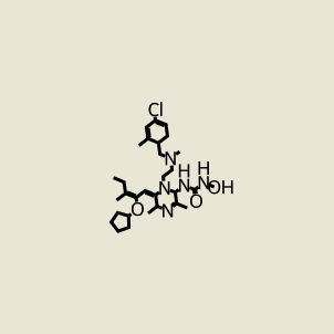 CC/C(C)=C(\C=C1/C(C)N=C(C)C(NC(=O)NO)N1CCN(C)CC1CC=C(Cl)C=C1C)OC1CCCC1